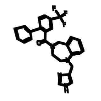 O=C(c1cc(C(F)(F)F)ccc1-c1ccccc1)N1CCN(Cc2c[nH]cn2)c2ccccc2C1